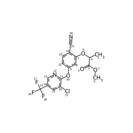 COC(=O)C(C)Oc1cc(Oc2ncc(C(F)(F)F)cc2Cl)ccc1C#N